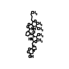 CCCCC(=O)C(=O)[C@@H](NC(=O)[C@@H]1CCCN1C(=O)[C@@H](NC(=O)CN1CCN(CC(=O)O)C1=O)C(C)C)C(C)C